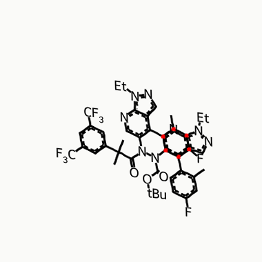 CCn1ncc2c(-c3ccc(F)cc3C)c(N(C(=O)OC(C)(C)C)N(C(=O)C(C)(C)c3cc(C(F)(F)F)cc(C(F)(F)F)c3)c3cnc4c(cnn4CC)c3-c3ccc(F)cc3C)cnc21